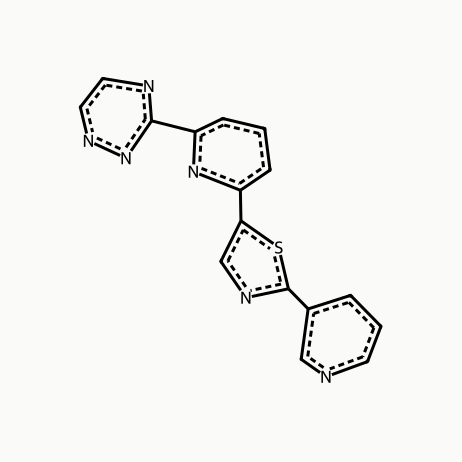 c1cncc(-c2ncc(-c3cccc(-c4nccnn4)n3)s2)c1